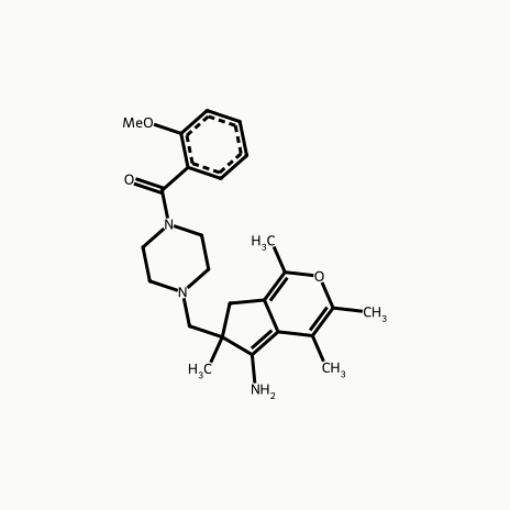 COc1ccccc1C(=O)N1CCN(CC2(C)CC3=C(C)OC(C)=C(C)C3=C2N)CC1